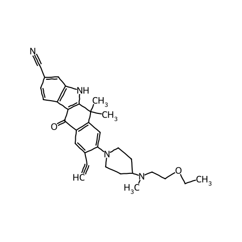 C#Cc1cc2c(cc1N1CCC(N(C)CCOCC)CC1)C(C)(C)c1[nH]c3cc(C#N)ccc3c1C2=O